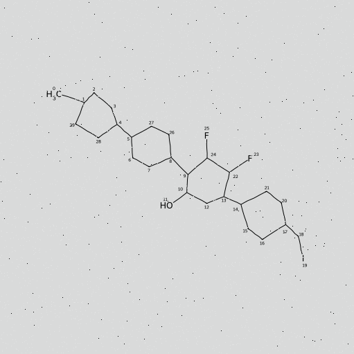 CC1CCC(C2CCC(C3C(O)CC(C4CCC(CI)CC4)C(F)C3F)CC2)CC1